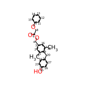 Cc1cc(COC(=O)COc2ccccc2)cc(C)c1Cc1ccc(O)cc1